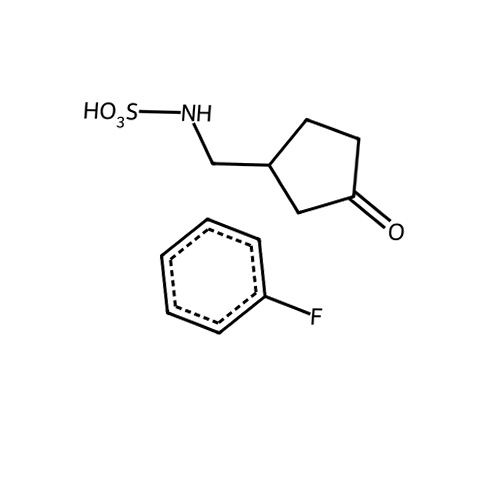 Fc1ccccc1.O=C1CCC(CNS(=O)(=O)O)C1